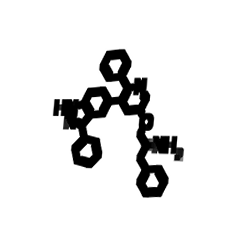 N[C@H](COc1cnc(-c2ccccc2)c(-c2ccc3[nH]nc(-c4ccccc4)c3c2)c1)Cc1ccccc1